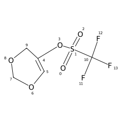 O=S(=O)(OC1=COCOC1)C(F)(F)F